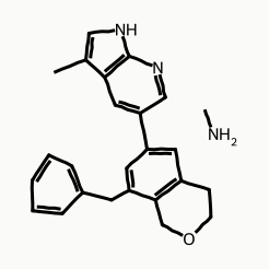 CN.Cc1c[nH]c2ncc(-c3cc4c(c(Cc5ccccc5)c3)COCC4)cc12